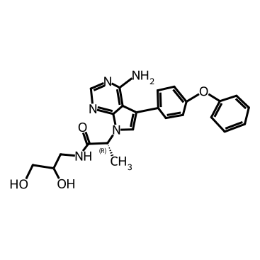 C[C@H](C(=O)NCC(O)CO)n1cc(-c2ccc(Oc3ccccc3)cc2)c2c(N)ncnc21